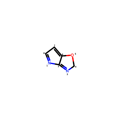 C1=NC2=NCOC2=C1